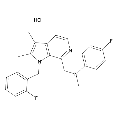 Cc1c(C)n(Cc2ccccc2F)c2c(CN(C)c3ccc(F)cc3)nccc12.Cl